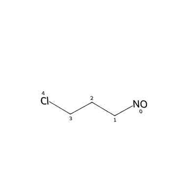 O=NCCCCl